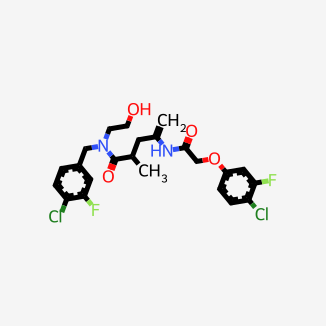 C=C(CC(C)C(=O)N(CCO)Cc1ccc(Cl)c(F)c1)NC(=O)COc1ccc(Cl)c(F)c1